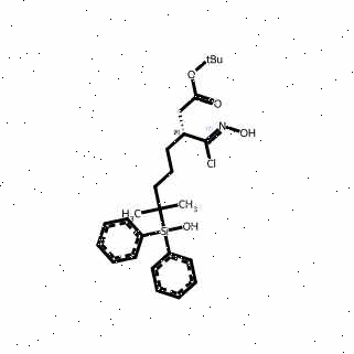 CC(C)(C)OC(=O)C[C@@H](CCCC(C)(C)[Si](O)(c1ccccc1)c1ccccc1)/C(Cl)=N/O